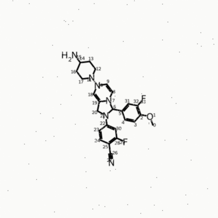 COc1ccc(C2N3C=CN(N4CCC(N)CC4)C=C3CN2c2ccc(C#N)c(F)c2)cc1F